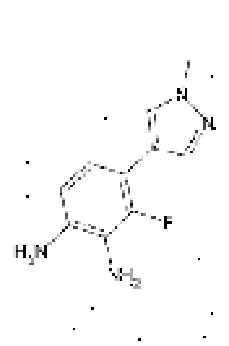 Cn1cc(-c2ccc(N)c(N)c2F)cn1